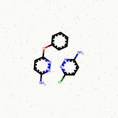 Nc1ccc(Cl)nn1.Nc1ccc(Oc2ccccc2)nn1